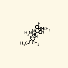 C=C(Cc1nc2c(-c3ccnc(NC)c3)c(-c3ccc(F)cc3)nc(N)n2n1)/C(F)=C\C=C/C